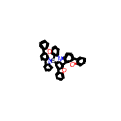 c1ccc2c(c1)B(n1c3ccccc3c3ccc4c5ccccc5oc4c31)c1cc3c4ccccc4oc3c3c4c5oc6ccccc6c5ccc4n-2c13